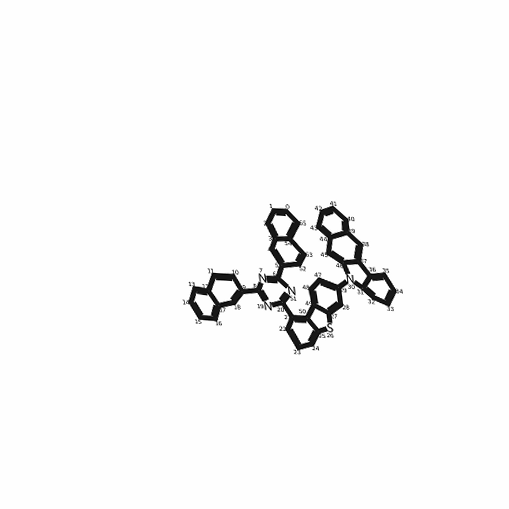 c1ccc2cc(-c3nc(-c4ccc5ccccc5c4)nc(-c4cccc5sc6cc(-n7c8ccccc8c8cc9ccccc9cc87)ccc6c45)n3)ccc2c1